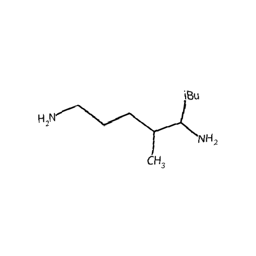 CCC(C)C(N)C(C)CCCN